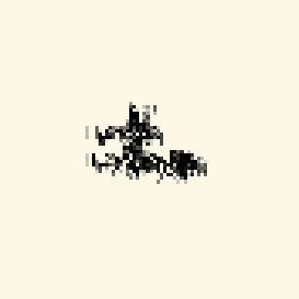 CCCC(C)C1(CC)C(=O)N=C([O-])NC1=O.CCCC(C)C1(CC)C(=O)N=C([O-])NC1=O.CCCC(C)C1(CC)C(=O)N=C([O-])NC1=O.[Na+].[Na+].[Na+]